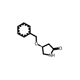 O=C1C[C@H](OCc2ccccc2)CN1